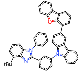 CC(C)(C)c1cccc2c1nc(-c1cccc(-n3c4ccccc4c4cc(-c5cccc6c5oc5ccccc56)ccc43)c1)n2-c1ccccc1